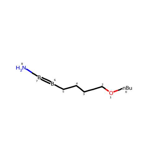 CCCCOCCCCB=BN